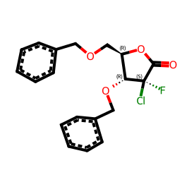 O=C1O[C@H](COCc2ccccc2)[C@@H](OCc2ccccc2)[C@]1(F)Cl